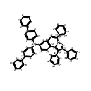 c1ccc(-c2ccc(N(c3ccc(-c4ccccc4)cc3)c3ccc4c(c3)cc(-c3ccccc3)n3nc(-c5ccccc5)c(-c5ccccc5)c43)cc2)cc1